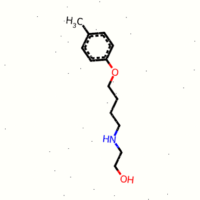 Cc1ccc(OCCCCNCCO)cc1